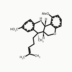 COc1cccc2c1[C@H]1Nc3ccc(C(=O)O)cc3[C@](C)(CCC=C(C)C)[C@H]1CO2